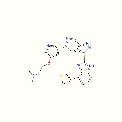 CN(C)CCOc1cncc(-c2cc3c(-c4nc5c(-c6ccsc6)ccnc5[nH]4)n[nH]c3cn2)c1